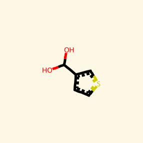 OC(O)c1ccsc1